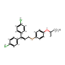 CC(Oc1ccc(SCC=C(c2ccc(Br)cc2)c2ccc(Br)cc2)cc1)C(=O)O